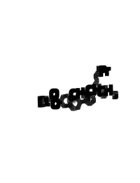 CCC(=O)OC1CC[C@@]2(C)C(=CCC3C4CCC(C(C)CCCC(C)C)[C@@]4(C)CCC32)C1